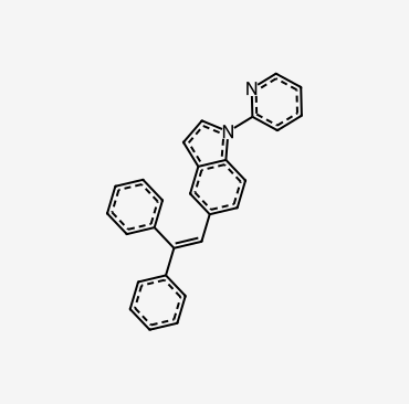 C(=C(c1ccccc1)c1ccccc1)c1ccc2c(ccn2-c2ccccn2)c1